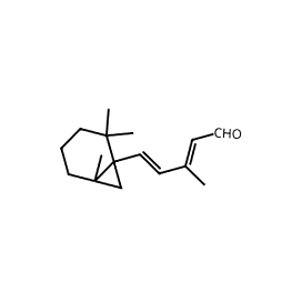 CC(C=CC12CC1(C)CCCC2(C)C)=CC=O